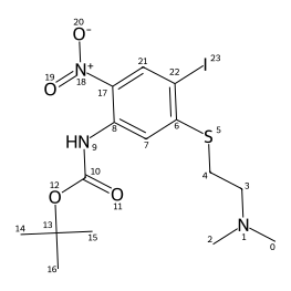 CN(C)CCSc1cc(NC(=O)OC(C)(C)C)c([N+](=O)[O-])cc1I